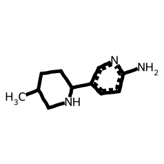 CC1CCC(c2ccc(N)nc2)NC1